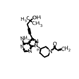 C=CC(=O)N1CCC[C@@H](n2nc(C#CCC(C)(C)O)c3c(N)ncnc32)C1